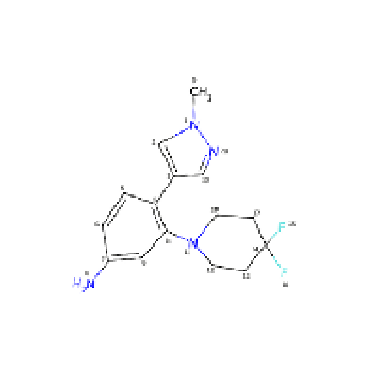 Cn1cc(-c2ccc(N)cc2N2CCC(F)(F)CC2)cn1